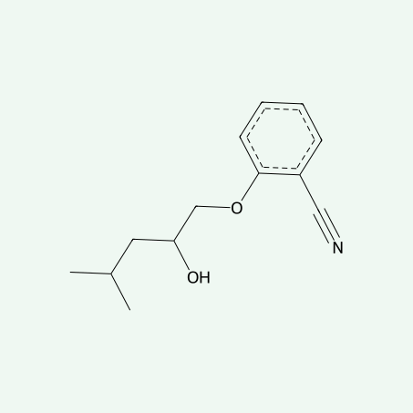 CC(C)CC(O)COc1ccccc1C#N